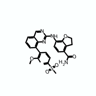 C=C(/C=C\C(=C(/C)OC)c1cccc2cnc(Nc3ccc(C(N)=O)c4c3OCC4)nc12)S(C)(=O)=O